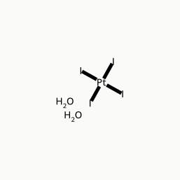 O.O.[I][Pt]([I])([I])[I]